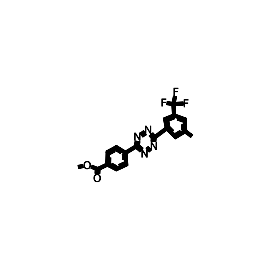 COC(=O)c1ccc(-c2nnc(-c3cc(C)cc(C(F)(F)F)c3)nn2)cc1